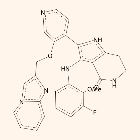 COc1c(F)cccc1Nc1c(-c2ccncc2OCc2cn3ccccc3n2)[nH]c2c1C(=O)NCC2